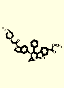 COC(=O)c1ccc2c(c1)NC(=O)/C2=C(/c1ccccc1)N(c1ccc2c(c1)CCN2C(=O)CN1CCN(C)CC1)C1CC1